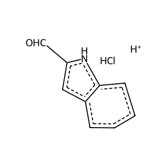 Cl.O=Cc1cc2ccccc2[nH]1.[H+]